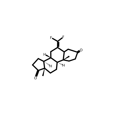 C[C@]12CCC(=O)CC1C(=C(F)F)C[C@@H]1[C@@H]2CC[C@]2(C)C(=O)CC[C@@H]12